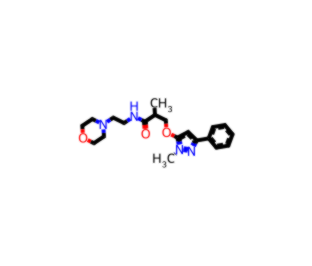 CC(COc1cc(-c2ccccc2)nn1C)C(=O)NCCN1CCOCC1